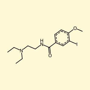 CCN(CC)CCNC(=O)c1ccc(OC)c(I)c1